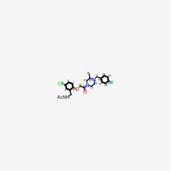 CC(=O)NCc1cc(Cl)ccc1OCC(=O)N1CCN(Cc2ccc(F)cc2)C(C)C1